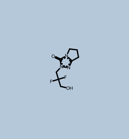 O=c1n(CC(F)(F)CO)nc2n1CCC2